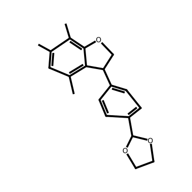 Cc1cc(C)c2c(c1C)OCC2c1ccc(C2OCCO2)cc1